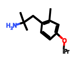 Cc1cc(OC(C)C)ccc1CC(C)(C)N